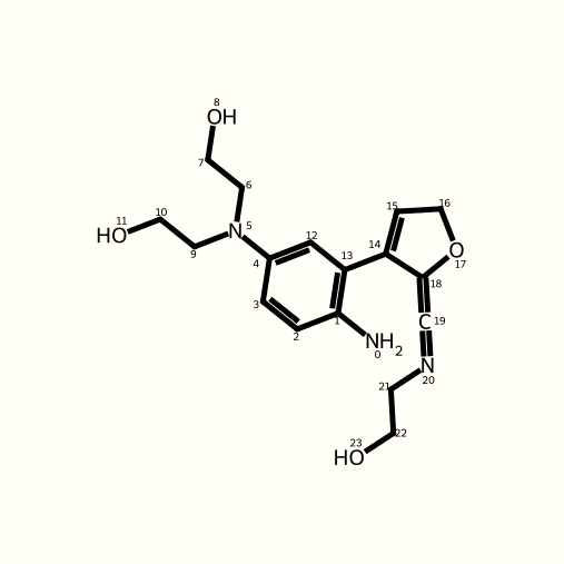 Nc1ccc(N(CCO)CCO)cc1C1=CCOC1=C=NCCO